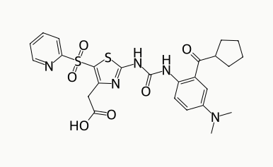 CN(C)c1ccc(NC(=O)Nc2nc(CC(=O)O)c(S(=O)(=O)c3ccccn3)s2)c(C(=O)C2CCCC2)c1